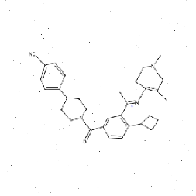 CC1=C(/N=C(\C)c2cc(C(=O)N3CCC(c4ccc(C#N)cc4)CC3)ccc2C2CCC2)CCN(C)C1